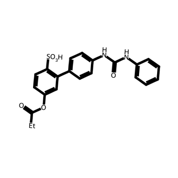 CCC(=O)Oc1ccc(S(=O)(=O)O)c(-c2ccc(NC(=O)Nc3ccccc3)cc2)c1